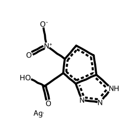 O=C(O)c1c([N+](=O)[O-])ccc2[nH]nnc12.[Ag]